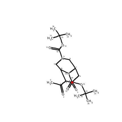 CC(=O)C1C(=O)CC2CN(C(=O)OC(C)(C)C)CC1N2C(=O)OC(C)(C)C